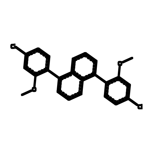 COc1cc(Cl)ccc1-c1cccc2c(-c3ccc(Cl)cc3OC)cccc12